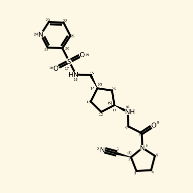 N#C[C@@H]1CCCN1C(=O)CN[C@H]1CC[C@@H](CNS(=O)(=O)c2cccnc2)C1